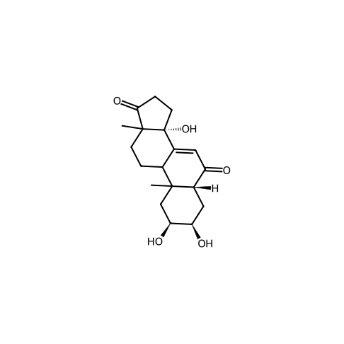 CC12C[C@H](O)[C@H](O)C[C@H]1C(=O)C=C1C2CCC2(C)C(=O)CC[C@@]12O